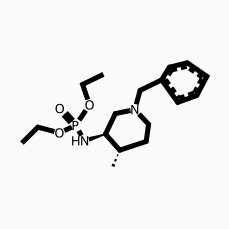 CCOP(=O)(N[C@H]1CN(Cc2ccccc2)CC[C@@H]1C)OCC